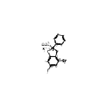 O=C([O-])[C@@]1(c2ccccc2)Cc2c(Br)cc(F)cc2O1.[K+]